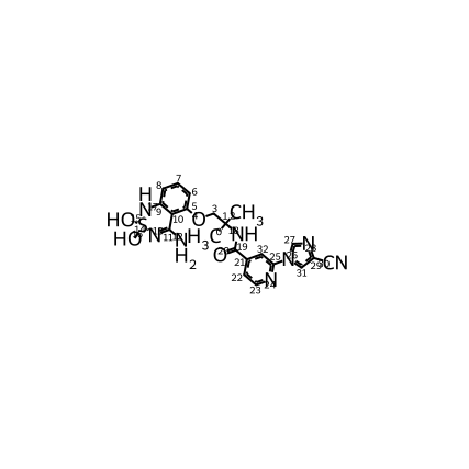 CC(C)(COc1cccc2c1C(N)=NS(O)(O)N2)NC(=O)c1ccnc(-n2cnc(C#N)c2)c1